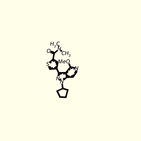 COc1nccc2c1c(-c1csc(C(=O)N(C)C)c1)nn2C1CCCC1